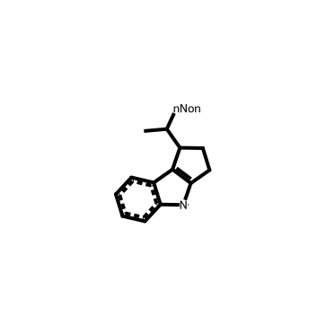 CCCCCCCCCC(C)C1CCC2=C1c1ccccc1[N]2